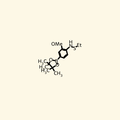 CCSNc1ccc(B2OC(C)(C)C(C)(C)O2)cc1OC